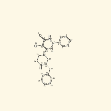 O=c1[nH]c(-c2ccncc2)nc(N2CCN[C@@H](Cc3ccccc3)C2)c1Cl